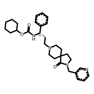 O=C(N[C@@H](CCN1CCC2(CC1)CCN(Cc1cccnc1)C2=O)c1ccccc1)OC1CCCCC1